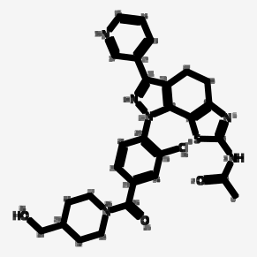 CC(=O)Nc1nc2c(s1)-c1c(c(-c3cccnc3)nn1-c1ccc(C(=O)N3CCC(CO)CC3)cc1Cl)CC2